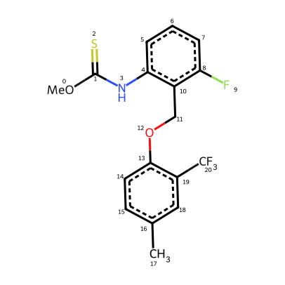 COC(=S)Nc1cccc(F)c1COc1ccc(C)cc1C(F)(F)F